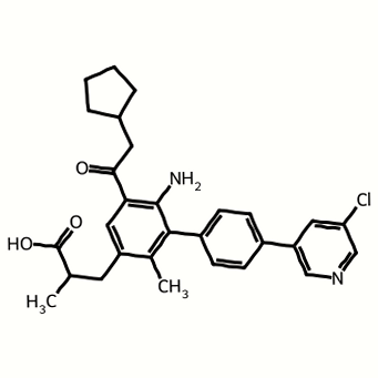 Cc1c(CC(C)C(=O)O)cc(C(=O)CC2CCCC2)c(N)c1-c1ccc(-c2cncc(Cl)c2)cc1